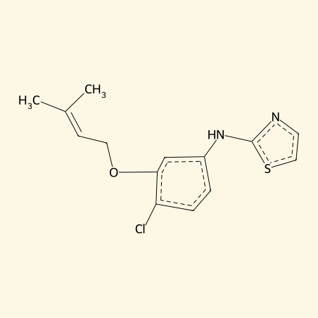 CC(C)=CCOc1cc(Nc2nccs2)ccc1Cl